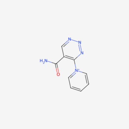 NC(=O)c1cnnnc1-[n+]1ccccc1